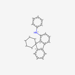 c1ccc(Nc2cccc3c2C2(CCCCC2)c2ccccc2-3)cc1